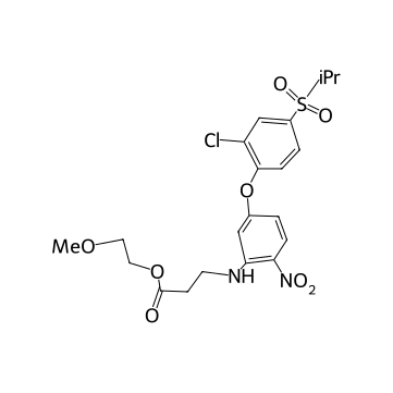 COCCOC(=O)CCNc1cc(Oc2ccc(S(=O)(=O)C(C)C)cc2Cl)ccc1[N+](=O)[O-]